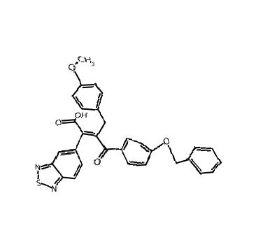 COc1ccc(CC(C(=O)c2ccc(OCc3ccccc3)cc2)=C(C(=O)O)c2ccc3nsnc3c2)cc1